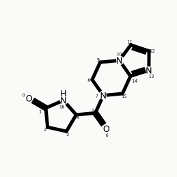 O=C1CCC(C(=O)N2CCn3ccnc3C2)N1